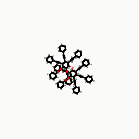 C(#Cc1c(C#Cc2ccccc2)c(C#Cc2ccccc2)c(Oc2c(C#Cc3ccccc3)c(C#Cc3ccccc3)c(C#Cc3ccccc3)c(C#Cc3ccccc3)c2C#Cc2ccccc2)c(C#Cc2ccccc2)c1C#Cc1ccccc1)c1ccccc1